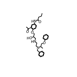 CCCC(=O)Nc1ccc(OCC(O)CNCCN(Cc2ccccc2)C(C)COc2ccccc2)c(C(C)=O)c1